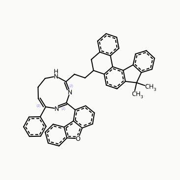 CC1(C)c2ccccc2-c2c1ccc1c2-c2ccccc2CC1CC/C1=N/C(c2cccc3oc4ccccc4c23)=N\C(c2ccccc2)=C/CCN1